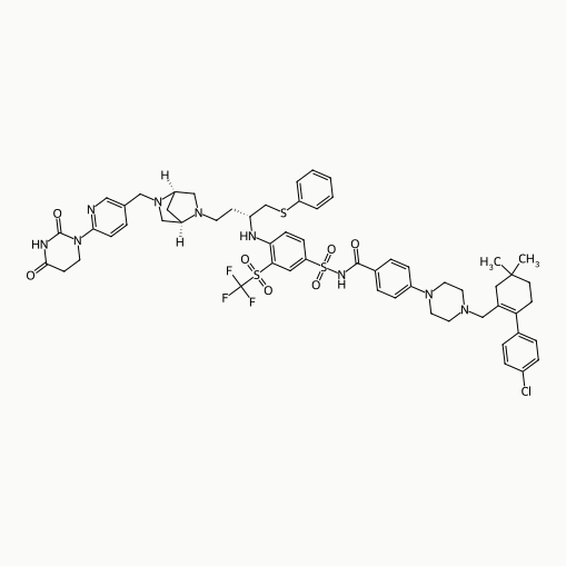 CC1(C)CCC(c2ccc(Cl)cc2)=C(CN2CCN(c3ccc(C(=O)NS(=O)(=O)c4ccc(N[C@H](CCN5C[C@H]6C[C@@H]5CN6Cc5ccc(N6CCC(=O)NC6=O)nc5)CSc5ccccc5)c(S(=O)(=O)C(F)(F)F)c4)cc3)CC2)C1